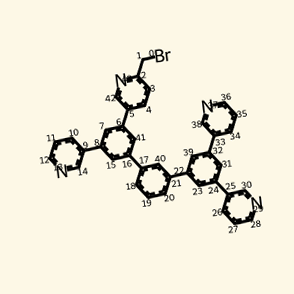 BrCc1ccc(-c2cc(-c3cccnc3)cc(-c3cccc(-c4cc(-c5cccnc5)cc(-c5cccnc5)c4)c3)c2)cn1